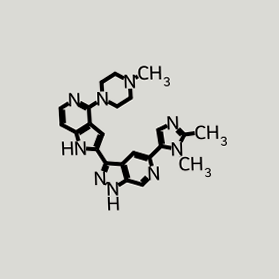 Cc1ncc(-c2cc3c(-c4cc5c(N6CCN(C)CC6)nccc5[nH]4)n[nH]c3cn2)n1C